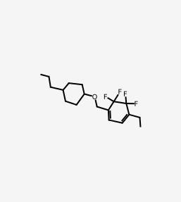 CCCC1CCC(OCC2=CC=C(CC)C(F)(F)C2(F)F)CC1